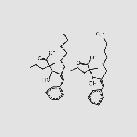 CCCCCC/C(=C/c1ccccc1)C(O)C(C)(CCC)C(=O)[O-].CCCCCC/C(=C/c1ccccc1)C(O)C(C)(CCC)C(=O)[O-].[Ca+2]